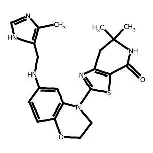 Cc1nc[nH]c1CNc1ccc2c(c1)N(c1nc3c(s1)C(=O)NC(C)(C)C3)CCO2